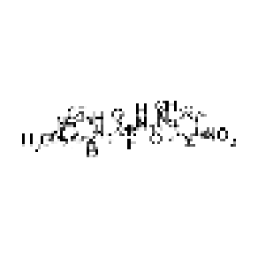 CN(C(=O)NNC(=O)CNC(=O)c1cn(C)nc1C(F)(F)F)c1ccc([N+](=O)[O-])cc1